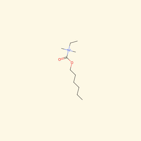 CCCCCCOC(=O)[N+](C)(C)CC